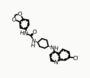 O=C(Nc1ccc2c(c1)OCO2)N[C@H]1CC[C@@H](Nc2ccnc3cc(Cl)ccc23)CC1